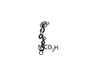 CC(C)(C)OC(=O)N1CCN(c2cccc(OC3CN(c4ncc(Cl)cc4C(=O)O)C3)c2)CC1